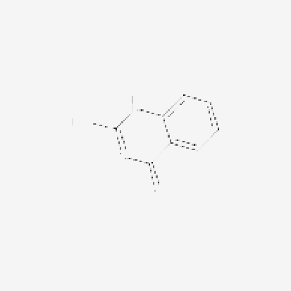 CC1=[N+]C(=O)c2ccccc2N1